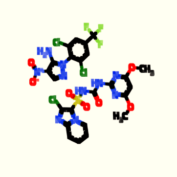 COc1cc(OC)nc(NC(=O)NS(=O)(=O)c2c(Cl)nc3ccccn23)n1.Nc1c([N+](=O)[O-])cnn1-c1c(Cl)cc(C(F)(F)F)cc1Cl